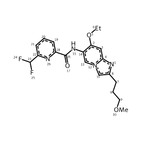 CCOc1cc2nc(CCCOC)cn2cc1NC(=O)c1cccc(C(F)F)n1